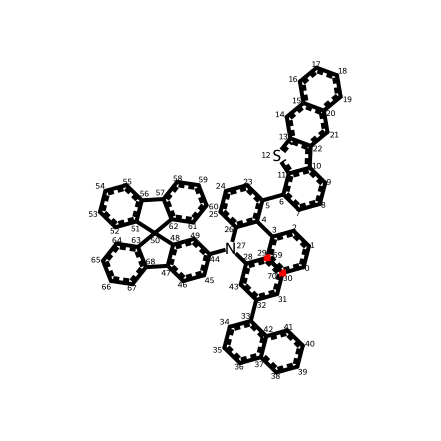 c1ccc(-c2c(-c3cccc4c3sc3cc5ccccc5cc34)cccc2N(c2cccc(-c3cccc4ccccc34)c2)c2ccc3c(c2)C2(c4ccccc4-c4ccccc42)c2ccccc2-3)cc1